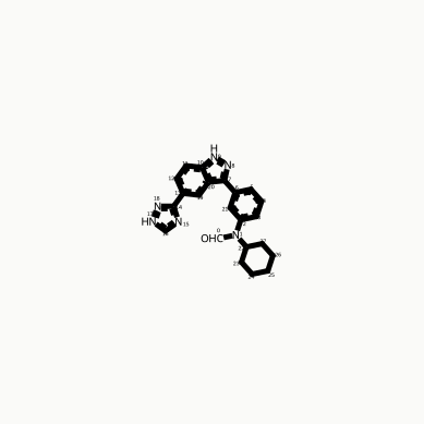 O=CN(c1cccc(-c2n[nH]c3ccc(-c4nc[nH]n4)cc23)c1)C1CCCCC1